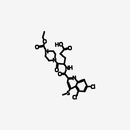 CCOC(=O)N1CCN(C(=O)C(CCC(=O)O)NC(=O)c2cc(SC)c3c(Cl)cc(Cl)cc3n2)CC1